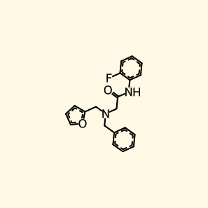 O=C(CN(Cc1ccccc1)Cc1ccco1)Nc1ccccc1F